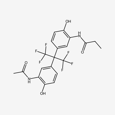 CCC(=O)Nc1cc(C(c2ccc(O)c(NC(C)=O)c2)(C(F)(F)F)C(F)(F)F)ccc1O